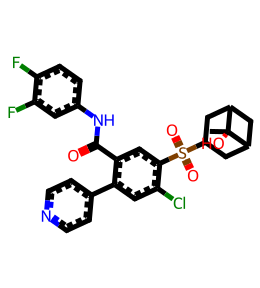 CC1(O)C2CC1CC(S(=O)(=O)c1cc(C(=O)Nc3ccc(F)c(F)c3)c(-c3ccncc3)cc1Cl)C2